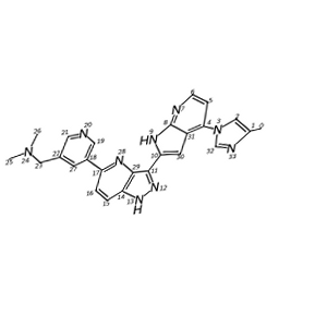 Cc1cn(-c2ccnc3[nH]c(-c4n[nH]c5ccc(-c6cncc(CN(C)C)c6)nc45)cc23)cn1